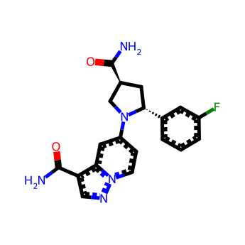 NC(=O)c1cnn2ccc(N3C[C@@H](C(N)=O)C[C@@H]3c3cccc(F)c3)cc12